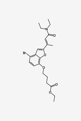 CCOC(=O)CCCOc1ccc(Br)c2cc(/C(C)=C/C(=O)N(CC)CC)oc12